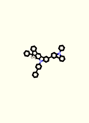 CC1(c2ccccc2)C2=CC3C(C=C2c2ccccc21)c1cc(-c2ccc4c(c2)c2ccccc2n4-c2ccccc2)ccc1N3c1ccc(-c2ccccc2)cc1